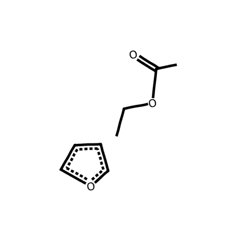 CCOC(C)=O.c1ccoc1